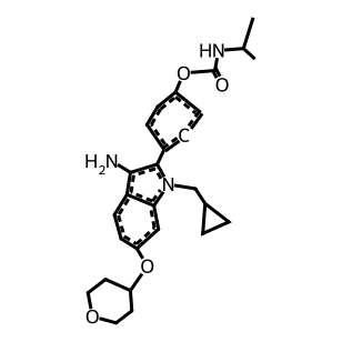 CC(C)NC(=O)Oc1ccc(-c2c(N)c3ccc(OC4CCOCC4)cc3n2CC2CC2)cc1